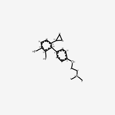 CN(C)CCOc1ccc(-c2c(C3CC3)ccc(F)c2F)cc1